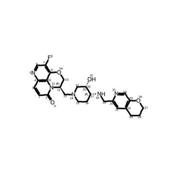 O=c1ccc2ncc(F)c3c2n1[C@H](CN1CC[C@@H](NCc2cc4c(cn2)OCCC4)[C@@H](O)C1)CO3